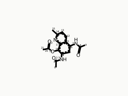 CC(=O)Nc1cc(NC(C)=O)c2ccc(C)nc2c1OC(C)=O